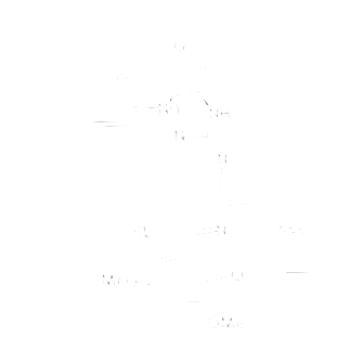 C=CC(=O)N[C@H]1COC[C@H]1Nc1ncc2cc(-c3c(Cl)c(OC)cc(OC)c3Cl)nc(Cc3ccccc3)c2n1